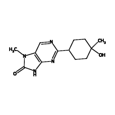 Cn1c(=O)[nH]c2nc(C3CCC(C)(O)CC3)ncc21